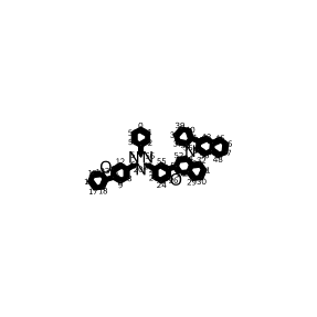 c1ccc(-c2nc(-c3ccc4c(c3)oc3ccccc34)nc(-c3ccc4oc5c6ccccc6c(-n6c7ccccc7c7cc8ccccc8cc76)cc5c4c3)n2)cc1